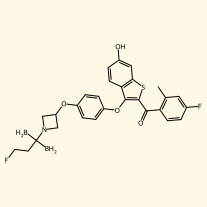 BC(B)(CCF)N1CC(Oc2ccc(Oc3c(C(=O)c4ccc(F)cc4C)sc4cc(O)ccc34)cc2)C1